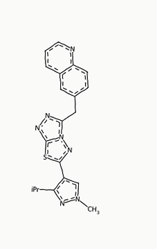 CC(C)c1nn(C)cc1-c1nn2c(Cc3ccc4ncccc4c3)nnc2s1